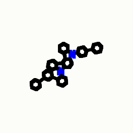 c1ccc(-c2ccc(-n3c4ccccc4c4c5c6ccccc6n(-c6ccccc6-c6cccc(-c7ccccc7)c6)c5ccc43)cc2)cc1